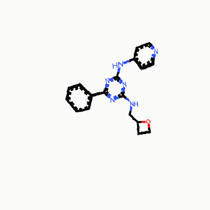 c1ccc(-c2nc(NCC3CCO3)nc(Nc3ccncc3)n2)cc1